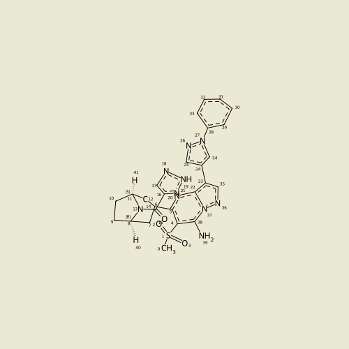 CS(=O)(=O)c1c(C2C[C@H]3CC[C@@H](C2)N3C(=O)c2cn[nH]n2)nc2c(-c3cnn(-c4ccccc4)c3)cnn2c1N